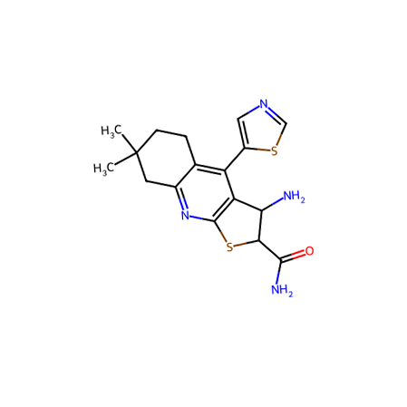 CC1(C)CCc2c(nc3c(c2-c2cncs2)C(N)C(C(N)=O)S3)C1